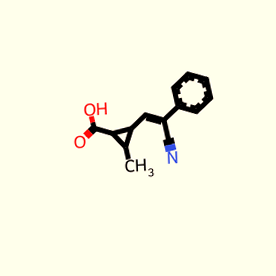 CC1C(C=C(C#N)c2ccccc2)C1C(=O)O